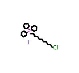 ClCCCCCCCCC=CC[P+](c1ccccc1)(c1ccccc1)c1ccccc1.[I-]